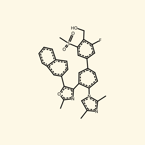 Cc1cn(-c2ccc(-c3cc(F)c(CO)c(S(C)(=O)=O)c3)cc2-c2nc(C)oc2-c2ccc3ccccc3c2)c(C)n1